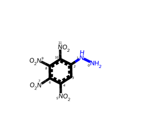 NNc1cc([N+](=O)[O-])c([N+](=O)[O-])c([N+](=O)[O-])c1[N+](=O)[O-]